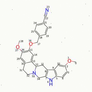 COc1ccc2[nH]c3c(c2c1)CC1c2cc(OCc4ccc(C#N)cc4)c(OC)cc2CCN1C3